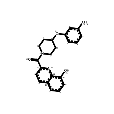 Cc1cccc(OC2CCN(C(=O)c3ccc4cccc(O)c4n3)CC2)c1